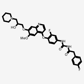 COc1cc2c(Oc3ccc(NC(=O)NC(=O)Cc4ccc(F)cc4)cc3F)ccnc2cc1OCC(O)CN1CCCCC1